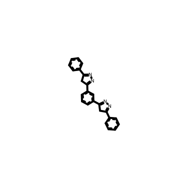 c1ccc(C2=NN=C(c3cccc(C4=NN=C(c5ccccc5)C4)c3)C2)cc1